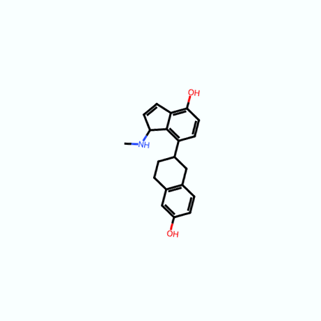 CNC1C=Cc2c(O)ccc(C3CCc4cc(O)ccc4C3)c21